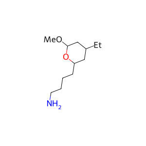 CCC1CC(CCCCN)OC(OC)C1